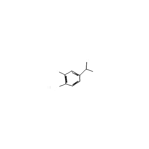 CC(Br)c1ccc(C(=O)O)c(F)c1